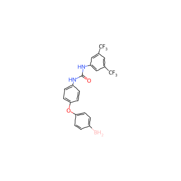 Bc1ccc(Oc2ccc(NC(=O)Nc3cc(C(F)(F)F)cc(C(F)(F)F)c3)cc2)cc1